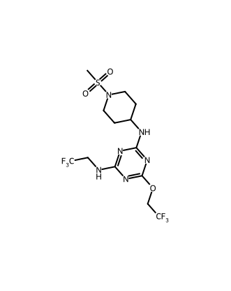 CS(=O)(=O)N1CCC(Nc2nc(NCC(F)(F)F)nc(OCC(F)(F)F)n2)CC1